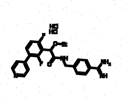 CCOC(C(=O)NCc1ccc(C(=N)N)cc1)c1c(F)ccc(-c2ccncc2)c1F.Cl.Cl